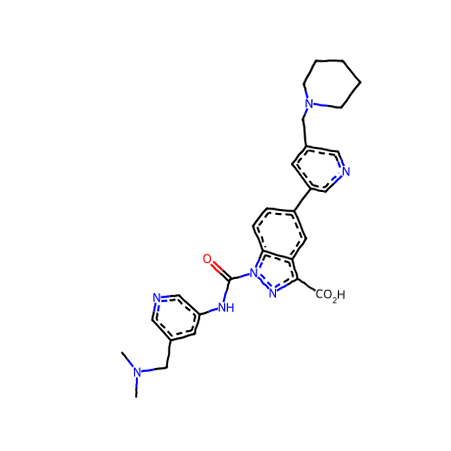 CN(C)Cc1cncc(NC(=O)n2nc(C(=O)O)c3cc(-c4cncc(CN5CCCCC5)c4)ccc32)c1